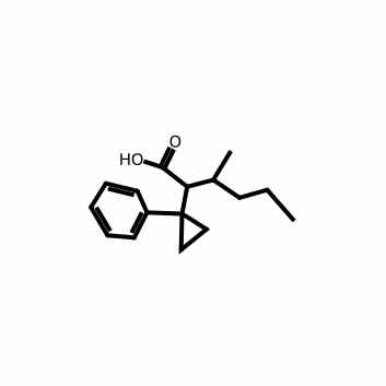 CCCC(C)C(C(=O)O)C1(c2ccccc2)CC1